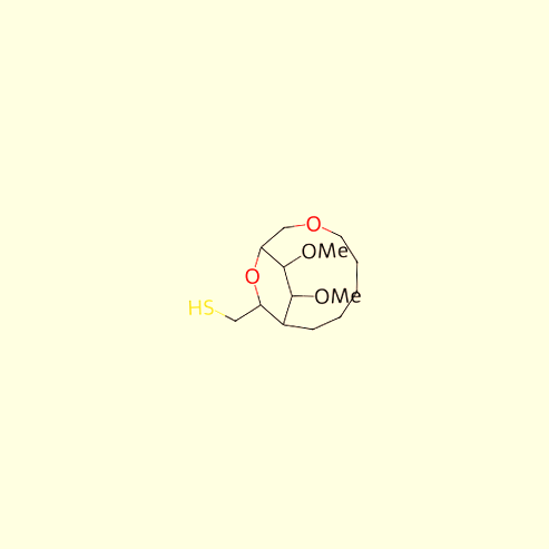 COC1C2COCCCCCC(C(CS)O2)C1OC